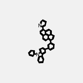 c1ccc(-n2c3ccccc3c3cc(-c4cccc(-c5ccc6ccc7c(-c8ccccn8)ccc8ccc5c6c87)c4)ccc32)cc1